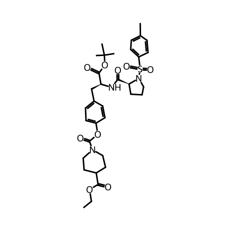 CCOC(=O)C1CCN(C(=O)Oc2ccc(C[C@H](NC(=O)[C@@H]3CCCN3S(=O)(=O)c3ccc(C)cc3)C(=O)OC(C)(C)C)cc2)CC1